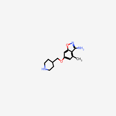 Cc1cc(OCC2CCNCC2)cc2onc(N)c12